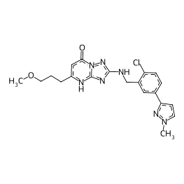 COCCCc1cc(=O)n2nc(NCc3cc(-c4ccn(C)n4)ccc3Cl)nc2[nH]1